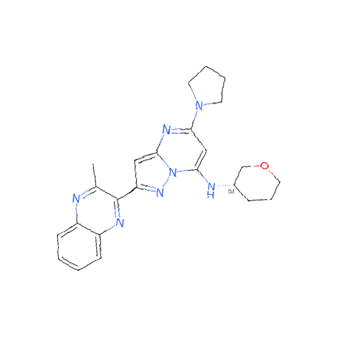 Cc1nc2ccccc2nc1-c1cc2nc(N3CCCC3)cc(N[C@H]3CCCOC3)n2n1